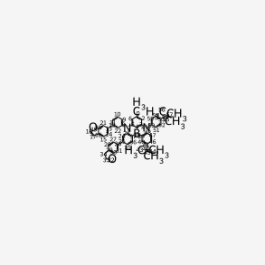 Cc1cc2c3c(c1)N(c1cccc(-c4ccc5ccoc5c4)c1)c1cc(-c4ccc5c(c4)OCC5)ccc1B3c1cc(C(C)(C)C)ccc1N2c1ccc(C(C)(C)C)cc1